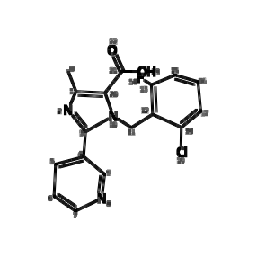 Cc1nc(-c2cccnc2)n(Cc2c(F)cccc2Cl)c1C(=O)O